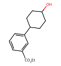 CCOC(=O)c1cccc(C2CCC(O)CC2)c1